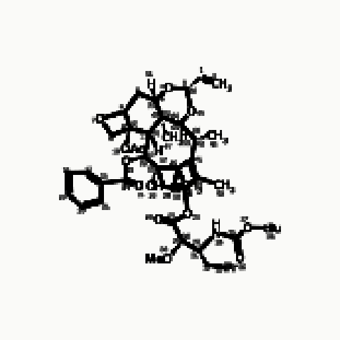 C=C[C@H]1O[C@H]2CC3OC[C@@]3(OC(C)=O)[C@H]3[C@H](OC(=O)c4ccccc4)[C@]4(O)CC(OC(=O)[C@H](OC)[C@H](CC(C)C)NC(=O)OC(C)(C)C)C(C)=C([C@@H](C)[C@H](O1)[C@]23C)C4(C)C